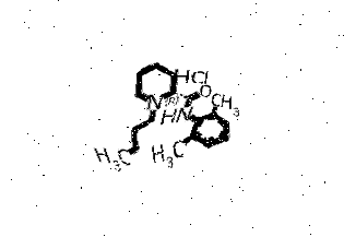 CCCCN1CCCC[C@@H]1C(=O)Nc1c(C)cccc1C.Cl